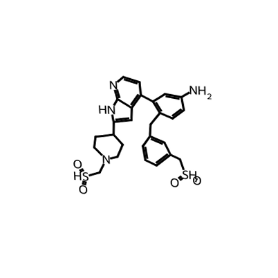 Nc1ccc(Cc2cccc(C[SH](=O)=O)c2)c(-c2ccnc3[nH]c(C4CCN(C[SH](=O)=O)CC4)cc23)c1